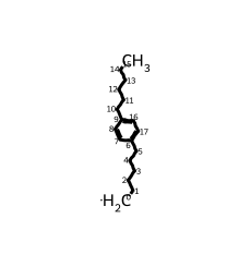 [CH2]CCCCCc1ccc(CCCCCC)cc1